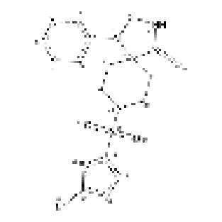 O=C1NCN(c2ccccc2)C12CCN(S(=O)(=O)c1ccc(Cl)s1)CC2